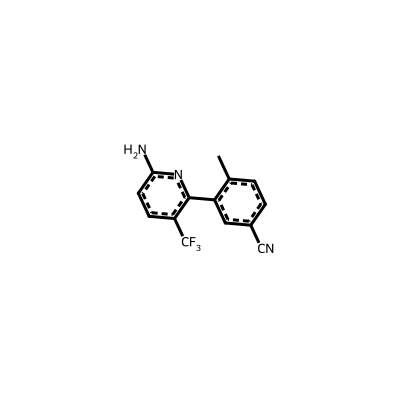 Cc1ccc(C#N)cc1-c1nc(N)ccc1C(F)(F)F